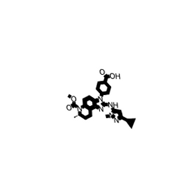 COC(=O)N1c2ccc3c(nc(Nc4cc(C5CC5)nn4C)n3C3CCC(C(=O)O)CC3)c2CC[C@@H]1C